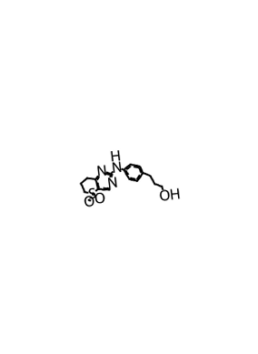 O=S1(=O)CCCc2nc(Nc3ccc(CCCO)cc3)ncc21